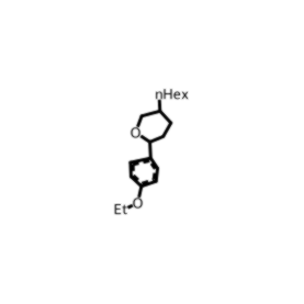 CCCCCCC1CCC(c2ccc(OCC)cc2)OC1